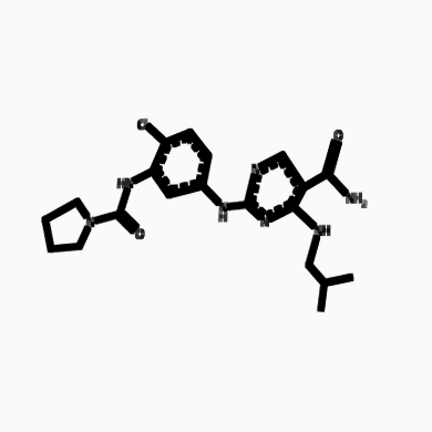 CC(C)CNc1nc(Nc2ccc(Cl)c(NC(=O)N3CCCC3)c2)ncc1C(N)=O